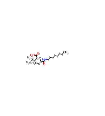 CCCCCCCCNC(=O)[C@H](CC)C[C@H](CC(C)C)C(=O)O